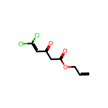 C=CCOC(=O)CC(=O)C=C(Cl)Cl